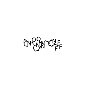 O=C([C@@H]1CCCc2nn(Cc3ccc(C(F)(F)F)nc3)c(=O)n21)N1CCC2CC21